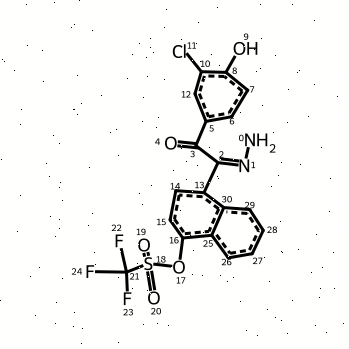 NN=C(C(=O)c1ccc(O)c(Cl)c1)c1ccc(OS(=O)(=O)C(F)(F)F)c2ccccc12